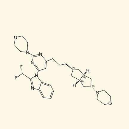 FC(F)c1nc2ccccc2n1-c1cc(CCC[C@H]2C[C@@H]3C[C@H](N4CCOCC4)C[C@@H]3C2)nc(N2CCOCC2)n1